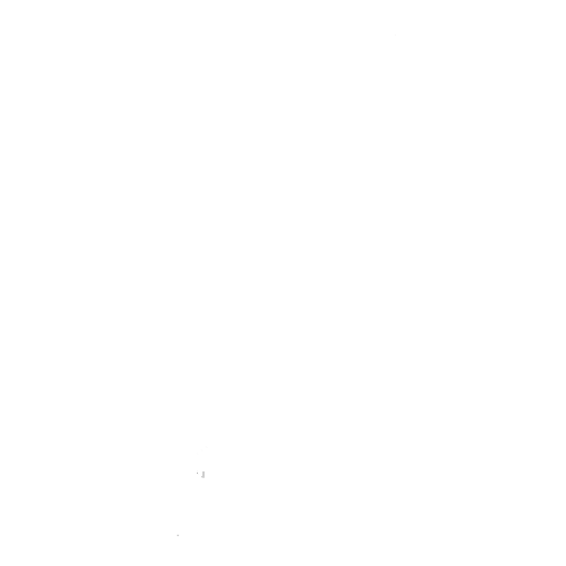 CCCCCCCCCCCCCCCCCCCCCCCCCCCC=CNCCCO